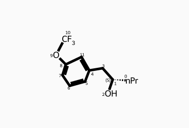 CCC[C@H](O)Cc1cccc(OC(F)(F)F)c1